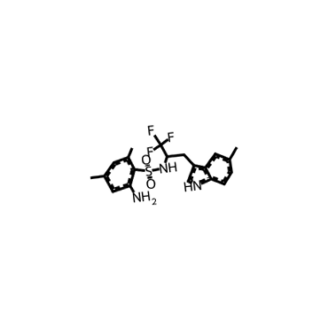 Cc1cc(C)c(S(=O)(=O)NC(Cc2c[nH]c3ccc(C)cc23)C(F)(F)F)c(N)c1